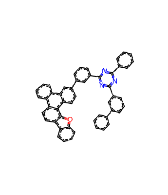 c1ccc(-c2cccc(-c3nc(-c4ccccc4)nc(-c4cccc(-c5ccc6c(c5)c5ccccc5c5ccc7c8ccccc8oc7c56)c4)n3)c2)cc1